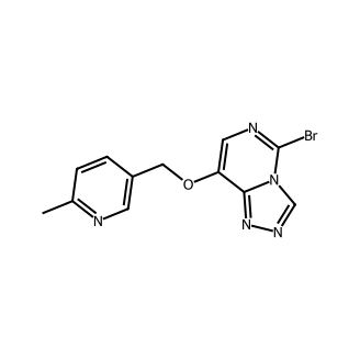 Cc1ccc(COc2cnc(Br)n3cnnc23)cn1